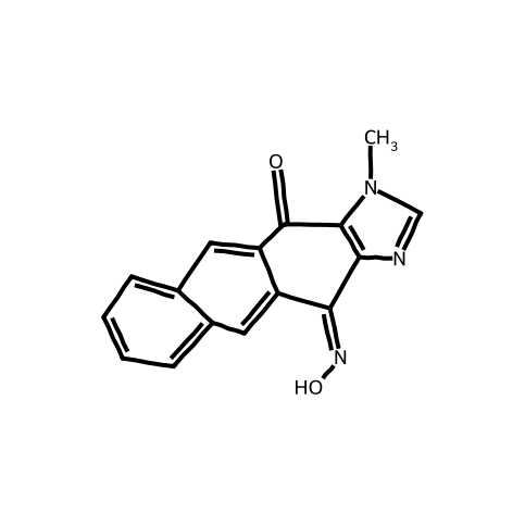 Cn1cnc2c1C(=O)c1cc3ccccc3cc1/C2=N\O